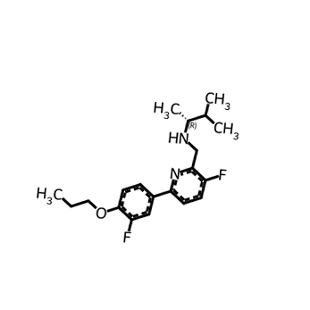 CCCOc1ccc(-c2ccc(F)c(CN[C@H](C)C(C)C)n2)cc1F